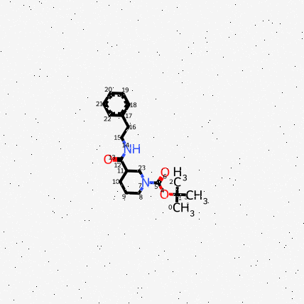 CC(C)(C)OC(=O)N1CCCC(C(=O)NCCc2ccccc2)C1